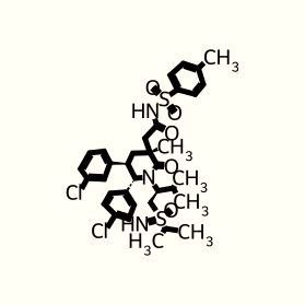 Cc1ccc(S(=O)(=O)NC(=O)C[C@@]2(C)C[C@H](c3cccc(Cl)c3)[C@@H](c3ccc(Cl)cc3)N([C@H](CS(=N)(=O)C(C)C)C(C)C)C2=O)cc1